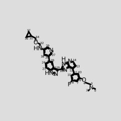 CN(C)CCOc1cc(F)cc(-c2ccnc3[nH]c(-c4n[nH]c5ccc(-c6cncc(NCOCC7CC7)c6)cc45)nc23)c1